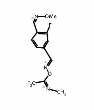 C/N=C(\O/N=C/c1ccc(/C=N\OC)c(F)c1)C(F)(F)F